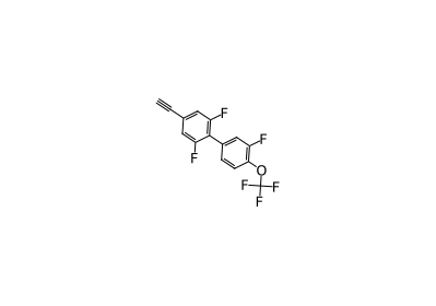 C#Cc1cc(F)c(-c2ccc(OC(F)(F)F)c(F)c2)c(F)c1